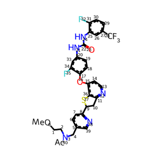 COCCN(Cc1ccc(C2Cc3nccc(Oc4ccc(NC(=O)Nc5cc(C(F)(F)F)ccc5F)cc4F)c3S2)nc1)C(C)=O